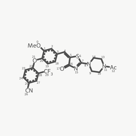 COc1cc(C=C2SC(N3CCN(C(C)=O)CC3)=NC2=O)ccc1Oc1ccc(C#N)cc1C(F)(F)F